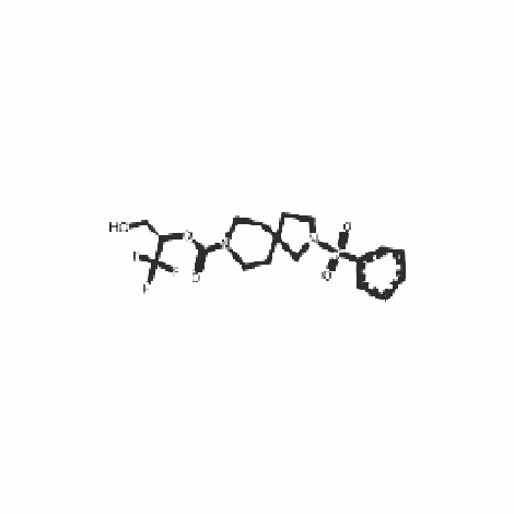 O=C(O[C@H](CO)C(F)(F)F)N1CCC2(CC1)CCN(S(=O)(=O)c1ccccc1)C2